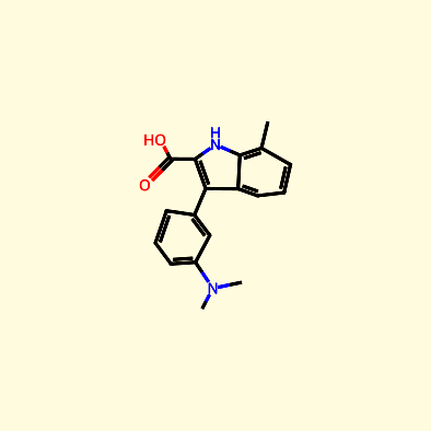 Cc1cccc2c(-c3cccc(N(C)C)c3)c(C(=O)O)[nH]c12